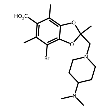 Cc1c(Br)c2c(c(C)c1C(=O)O)OC(C)(CN1CCC(N(C)C)CC1)O2